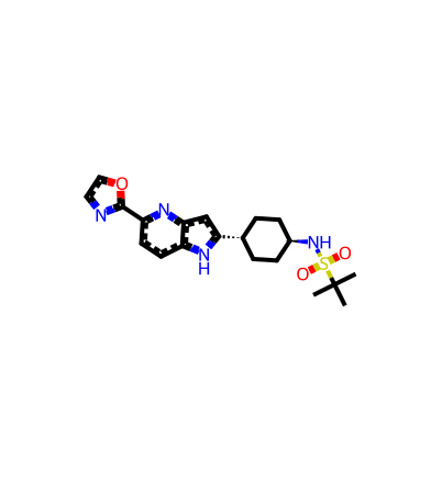 CC(C)(C)S(=O)(=O)N[C@H]1CC[C@H](c2cc3nc(-c4ncco4)ccc3[nH]2)CC1